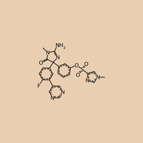 CN1C(=O)C(c2cccc(OS(=O)(=O)c3cn(C)cn3)c2)(c2ccc(F)c(-c3cncnc3)c2)N=C1N